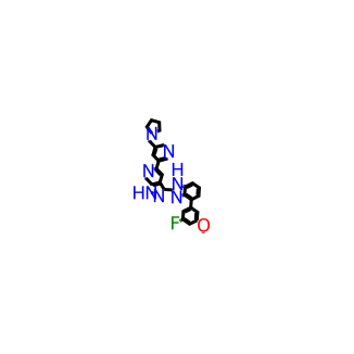 COc1cc(F)cc(-c2cccc3[nH]c(-c4n[nH]c5cnc(-c6cncc(CN7CCCC7)c6)cc45)nc23)c1